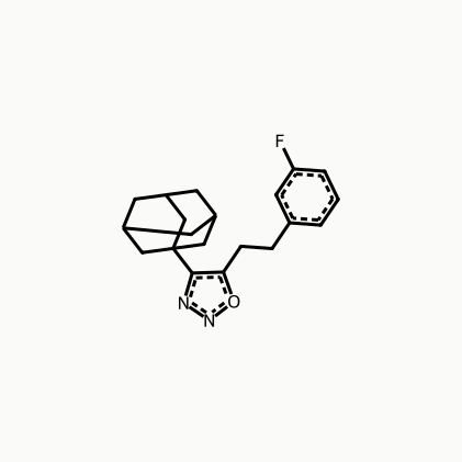 Fc1cccc(CCc2onnc2C23CC4CC(CC(C4)C2)C3)c1